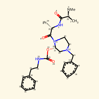 CN[C@@H](C)C(=O)N[C@H](C(=O)N1CCN(Cc2ccccc2)C[C@@H]1OC(=O)NCCc1ccccc1)C(C)C